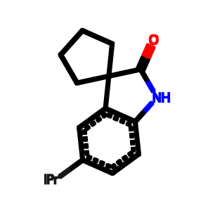 CC(C)c1ccc2c(c1)C1(CCCC1)C(=O)N2